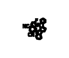 N#Cc1ccc(-n2c3ccccc3c3ccc4c5ccccc5n(-c5c(F)cccc5F)c4c32)c(C#N)c1